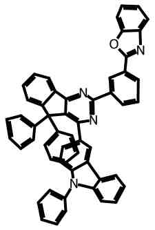 c1ccc(-n2c3ccccc3c3cc(-c4nc(-c5cccc(-c6nc7ccccc7o6)c5)nc5c4C(c4ccccc4)(c4ccccc4)c4ccccc4-5)ccc32)cc1